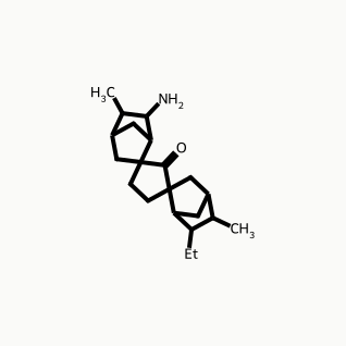 CCC1C(C)C2CC1C1(CCC3(CC4CC3C(N)C4C)C1=O)C2